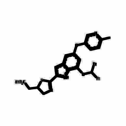 CCOC(=O)CC1CN=C(c2cc3cc(Oc4ccc(C)nc4)cc(OC(CC)CC)c3[nH]2)S1